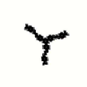 C[S+](C)c1ccc(OCCOc2ccc(-c3cc(-c4ccc(OCCOc5ccc([S+](C)C)cc5)cc4)cc(-c4ccc(OCCOc5ccc([S+](C)C)cc5)cc4)c3)cc2)cc1